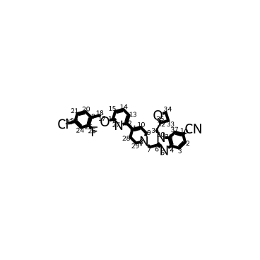 N#Cc1ccc2nc(CN3CC=C(c4cccc(OCc5ccc(Cl)cc5F)n4)CC3)n(C[C@@H]3CCO3)c2c1